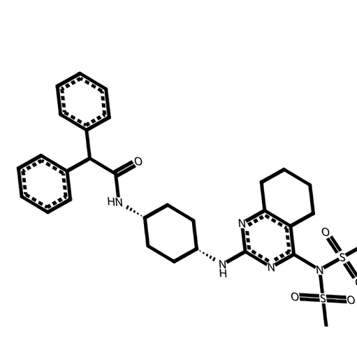 CS(=O)(=O)N(c1nc(N[C@H]2CC[C@@H](NC(=O)C(c3ccccc3)c3ccccc3)CC2)nc2c1CCCC2)S(C)(=O)=O